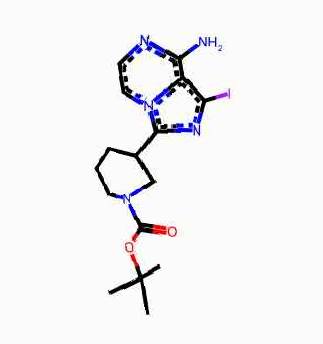 CC(C)(C)OC(=O)N1CCCC(c2nc(I)c3c(N)nccn23)C1